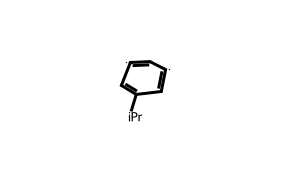 CC(C)c1c[c]c[c]c1